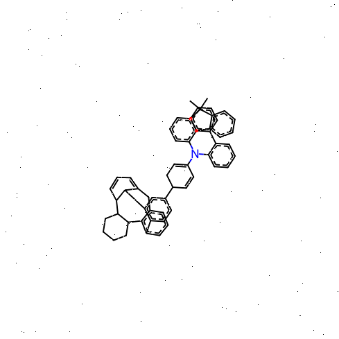 CC1(C)c2ccccc2-c2c(N(C3=CCC(c4ccc5c(c4)C4C6=CC=CC4C4CCCCC4c4c(cccc4-5)C6)C=C3)c3ccccc3-c3ccccc3)cccc21